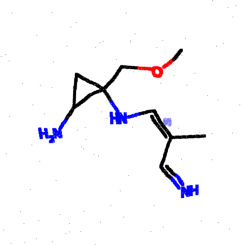 COCC1(N/C=C(/C)C=N)CC1N